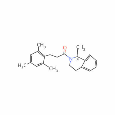 Cc1cc(C)c(CCC(=O)N2CCc3ccccc3[C@@H]2C)c(C)c1